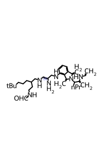 C=CNC(=C)C(CCC)n1c(=C)c2cccc(NC/C(N)=C/NCC(CCCC(C)(C)C)CCNC=O)c2c1=C